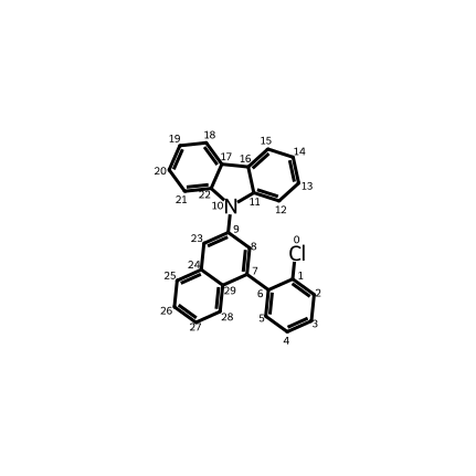 Clc1ccccc1-c1cc(-n2c3ccccc3c3ccccc32)cc2ccccc12